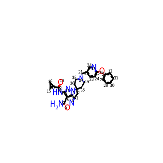 N#CCC1(n2cc(C(N)=O)c(NC(=O)C3=CC3)n2)CCN(Cc2ccc(Oc3ccccc3)nc2)CC1